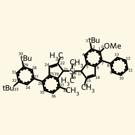 COc1c(C(C)(C)C)cc2c(c1-c1ccccc1)C=C(C)C2[Si](C)(C)C1C(C)=Cc2c(-c3cc(C(C)(C)C)cc(C(C)(C)C)c3)ccc(C)c21